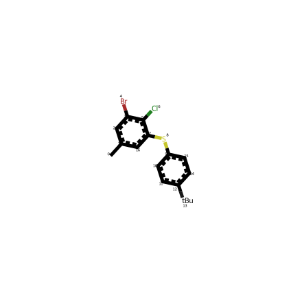 Cc1cc(Br)c(Cl)c(Sc2ccc(C(C)(C)C)cc2)c1